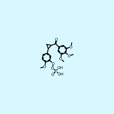 COc1ccc(C2CC2C(=O)c2cc(OC)c(OC)c(OC)c2)cc1OOP(=O)(O)O